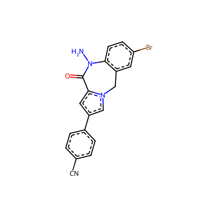 N#Cc1ccc(-c2cc3n(c2)Cc2cc(Br)ccc2N(N)C3=O)cc1